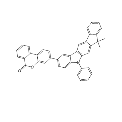 CC1(C)c2ccccc2-c2cc3c4cc(-c5ccc6c(c5)oc(=O)c5ccccc56)ccc4n(-c4ccccc4)c3cc21